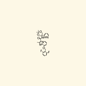 Cc1nc2c(OCc3c(F)cccc3F)cccn2c1C(=O)NC1(c2cccnc2)COC(C)(C)OC1